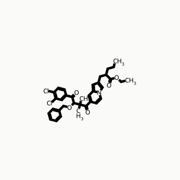 CCCC(Cc1cc2cc(C(=O)C(C)(C)C(OCc3ccccc3)C(=O)c3ccc(Cl)c(Cl)c3)ccn2c1)C(=O)OCC